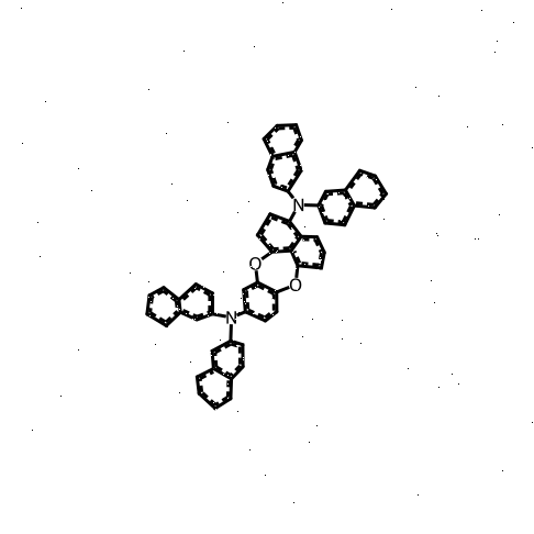 c1ccc2cc(N(c3ccc4c(c3)Oc3ccc(N(c5ccc6ccccc6c5)c5ccc6ccccc6c5)c5cccc(c35)O4)c3ccc4ccccc4c3)ccc2c1